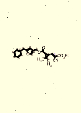 CCOC(=O)/C(C#N)=C/C1C(C(=O)OCc2coc(Cc3ccccc3)c2)C1(C)C